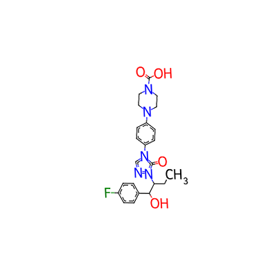 CCC(C(O)c1ccc(F)cc1)n1ncn(-c2ccc(N3CCN(C(=O)O)CC3)cc2)c1=O